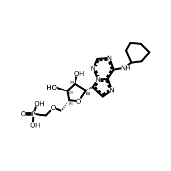 O=P(O)(O)COC[C@H]1O[C@@H](c2cnc3c(NC4CCCCC4)ncnn23)[C@H](O)[C@@H]1O